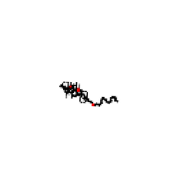 C#C[C@]1(O)CC[C@H]2[C@@H]3CCc4cc(OC(=O)CCC/C=C\C/C=C\C/C=C\C/C=C\C/C=C\CC)ccc4[C@H]3CC[C@@]21C